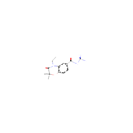 CCN1C(=O)C(C)(C)Oc2ccc(C(=O)NC(=N)N)cc21